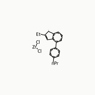 CCCc1ccc(-c2cccc3c2C=C(CC)[CH]3)cc1.[Cl][Zr][Cl]